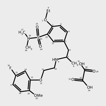 CCOc1ccc(CC(C)NCCOc2cc(F)ccc2OC)cc1S(=O)(=O)N(C)C.O=C(O)C(=O)O